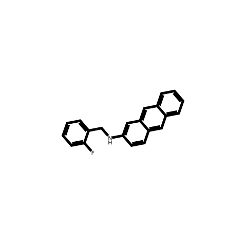 Fc1ccccc1CNc1ccc2cc3ccccc3cc2c1